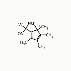 CC1=C(C)C(C)(C)C([C]([W])(N=O)N=O)=C1C